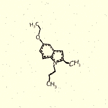 CCCn1c(C)cc2cc(OCC)ccc21